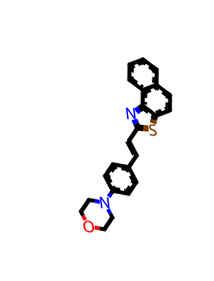 C(=C\c1nc2c(ccc3ccccc32)s1)/c1ccc(N2CCOCC2)cc1